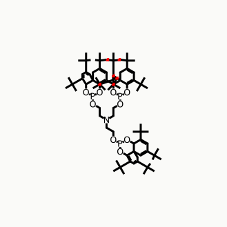 CC(C)(C)C1=CC23CC(C(C)(C)C)=CC(C(C)(C)C)=C2OP(OCCN(CCOP2OC4=C(C(C)(C)C)C=C(C(C)(C)C)CC45C=C(C(C)(C)C)C=C(C(C)(C)C)C5O2)CCOP2OC4=C(C(C)(C)C)C=C(C(C)(C)C)CC45C=C(C(C)(C)C)C=C(C(C)(C)C)C5O2)OC3C(C(C)(C)C)=C1